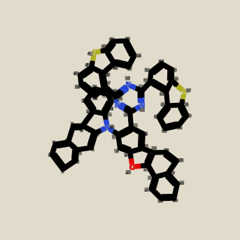 c1ccc2cc3c(cc2c1)c1ccccc1n3-c1cc2oc3c4ccccc4ccc3c2cc1-c1nc(-c2cccc3sc4ccccc4c23)nc(-c2cccc3sc4ccccc4c23)n1